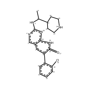 CC(Nc1ncc2cc(-c3ccccc3Cl)c(=O)[nH]c2n1)C1CCNCC1